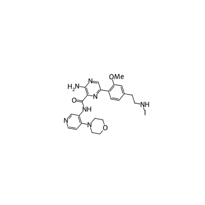 COc1cc(CCNI)ccc1-c1cnc(N)c(C(=O)Nc2cnccc2N2CCOCC2)n1